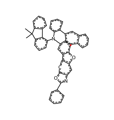 CC1(C)c2ccccc2-c2c(N(c3ccc4oc5cc6nc(-c7ccccc7)oc6cc5c4c3)c3ccccc3-c3ccc4ccccc4c3)cccc21